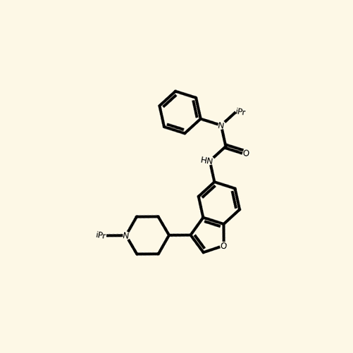 CC(C)N1CCC(c2coc3ccc(NC(=O)N(c4ccccc4)C(C)C)cc23)CC1